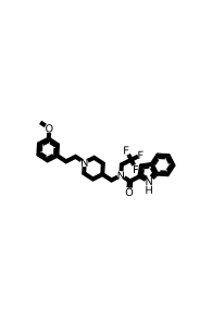 COc1cccc(CCN2CCC(CN(CC(F)(F)F)C(=O)c3cc4ccccc4[nH]3)CC2)c1